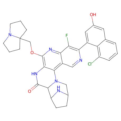 O=C1Nc2c(OCC34CCCN3CCC4)nc3c(F)c(-c4cc(O)cc5cccc(Cl)c45)ncc3c2N2CC3CCC(N3)C12